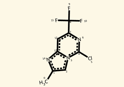 Cc1cn2c(Cl)nc(C(F)(F)F)cc2n1